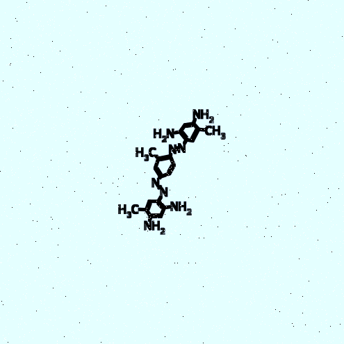 Cc1cc(N=Nc2ccc(N=Nc3cc(C)c(N)cc3N)c(C)c2)c(N)cc1N